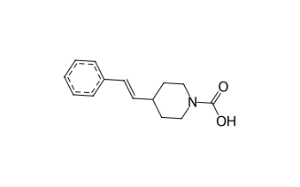 O=C(O)N1CCC(C=Cc2ccccc2)CC1